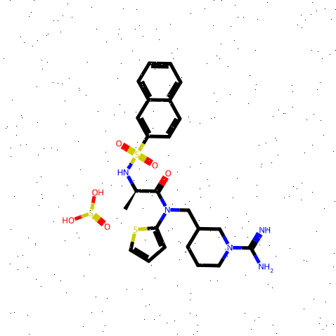 C[C@@H](NS(=O)(=O)c1ccc2ccccc2c1)C(=O)N(CC1CCCN(C(=N)N)C1)c1cccs1.O=S(O)O